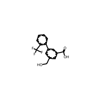 O=C(O)c1cc(CO)cc(-c2ccccc2C(F)(F)F)c1